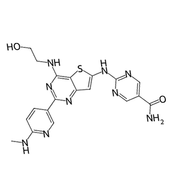 CNc1ccc(-c2nc(NCCO)c3sc(Nc4ncc(C(N)=O)cn4)cc3n2)cn1